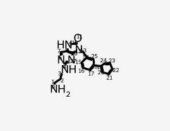 NCCCNc1ncc2[nH]c(=O)n(Cc3cccc(-c4ccccc4)c3)c2n1